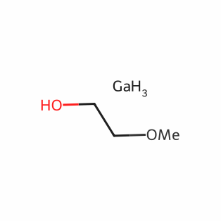 COCCO.[GaH3]